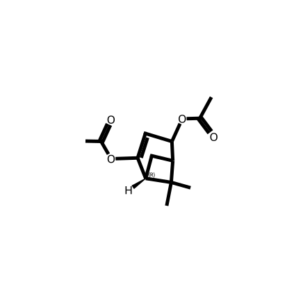 CC(=O)OC1=CC(OC(C)=O)C2C[C@@H]1C2(C)C